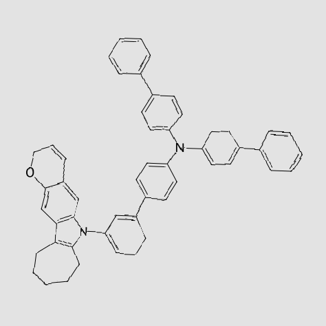 C1=Cc2cc3c(cc2OC1)c1c(n3C2=CCCC(c3ccc(N(C4=CC=C(c5ccccc5)CC4)c4ccc(-c5ccccc5)cc4)cc3)=C2)CCCCC1